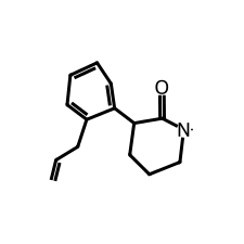 C=CCc1ccccc1C1CCC[N]C1=O